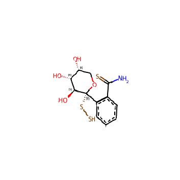 NC(=S)c1cc[c]cc1[C@]1(SS)OC[C@@H](O)[C@@H](O)[C@@H]1O